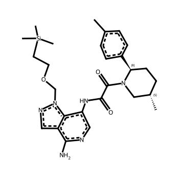 Cc1ccc([C@H]2CC[C@H](C)CN2C(=O)C(=O)Nc2cnc(N)c3cnn(COCC[Si](C)(C)C)c23)cc1